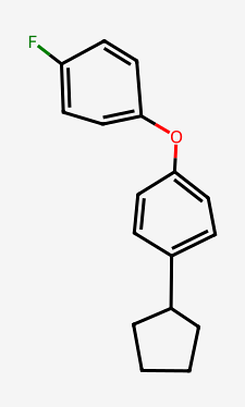 Fc1ccc(Oc2ccc(C3CCCC3)cc2)cc1